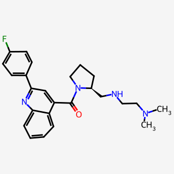 CN(C)CCNC[C@@H]1CCCN1C(=O)c1cc(-c2ccc(F)cc2)nc2ccccc12